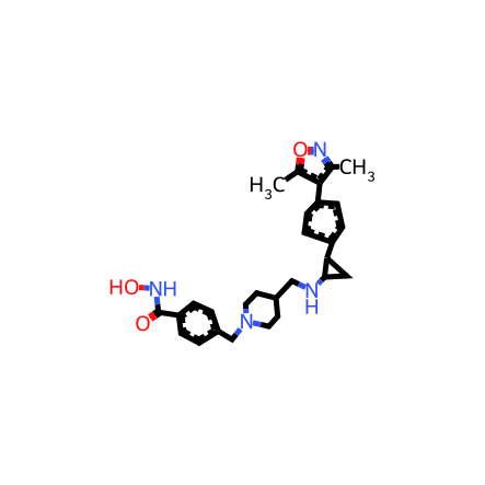 Cc1noc(C)c1-c1ccc(C2CC2NCC2CCN(Cc3ccc(C(=O)NO)cc3)CC2)cc1